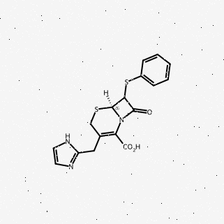 O=C(O)C1=C(Cc2ncc[nH]2)CS[C@H]2C(Sc3ccccc3)C(=O)N12